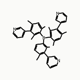 Cc1cc(C)c(-c2cccnc2)c(C)c1B(c1ccc(C)c(-c2cccnc2)c1C)c1c(C)cc(C)c(-c2cccnc2)c1C